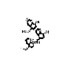 O=S(=O)(O)c1ccc(O)c2ncccc12.O=S(=O)(O)c1ccc(O)c2ncccc12.O=S(=O)(O)c1ccc(O)c2ncccc12.[Al]